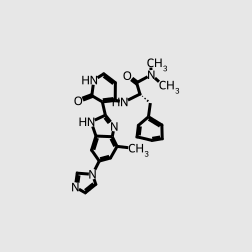 Cc1cc(-n2ccnc2)cc2[nH]c(-c3c(N[C@@H](Cc4ccccc4)C(=O)N(C)C)cc[nH]c3=O)nc12